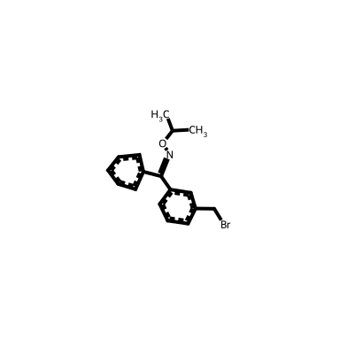 CC(C)O/N=C(\c1ccccc1)c1cccc(CBr)c1